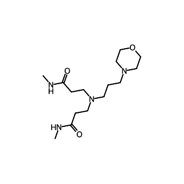 CNC(=O)CCN(CCCN1CCOCC1)CCC(=O)NC